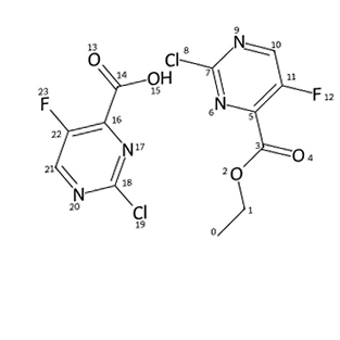 CCOC(=O)c1nc(Cl)ncc1F.O=C(O)c1nc(Cl)ncc1F